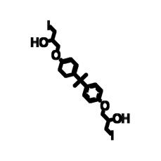 CC(C)(C1=CC=C(OCC(O)CI)CC1)c1ccc(OCC(O)CI)cc1